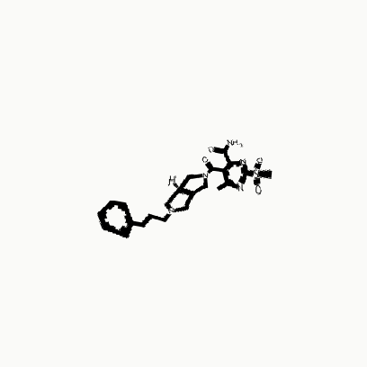 Cc1nc(S(C)(=O)=O)nc(C(N)=O)c1C(=O)N1CC2CN(CC[CH]c3ccccc3)C[C@H]2C1